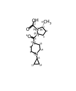 C[C@@H]1CC[C@@H](C(=O)N2CCN(C3CC3)CC2)N1C(=O)O